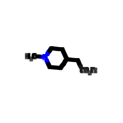 CCOC(=O)CC1CCN(C)CC1